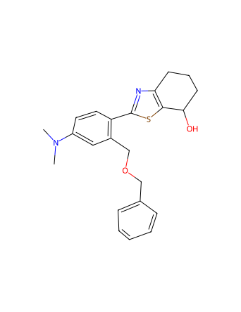 CN(C)c1ccc(-c2nc3c(s2)C(O)CCC3)c(COCc2ccccc2)c1